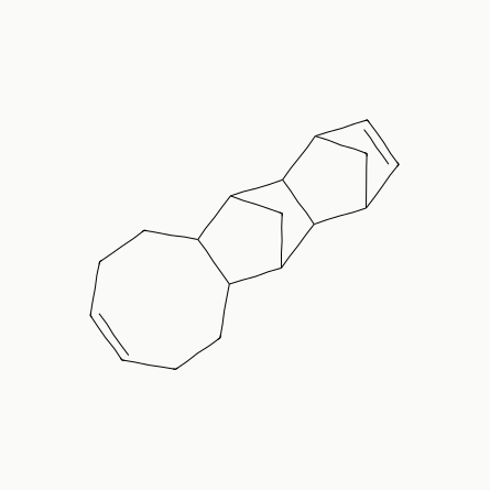 C1=CC2CC1C1C3CC(C4CC/C=C\CCC43)C21